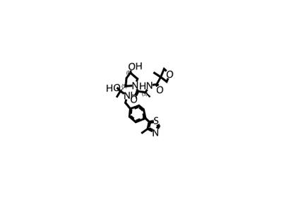 Cc1ncsc1-c1ccc(CNC(C)(O)[C@@H]2C[C@@H](O)CN2C(=O)[C@H](C)NC(=O)C2(C)COC2)cc1